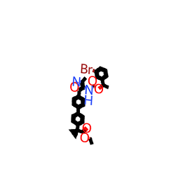 CCOC(=O)C1(c2ccc(-c3ccc(-c4onc(C)c4NC(=O)OC(C)c4cccc(Br)c4)cc3)cc2)CC1